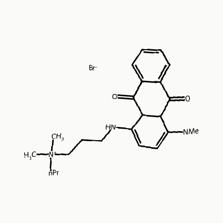 CCC[N+](C)(C)CCCNC1=CC=C(NC)C2C(=O)c3ccccc3C(=O)C12.[Br-]